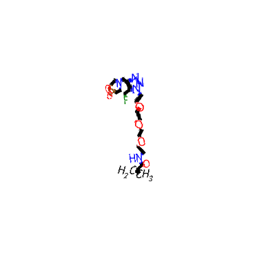 C=C(C)C(=O)NCCOCCOCCOCCn1nnc(CN2CCS(=O)(=O)CC2)c1CF